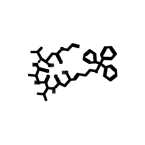 C=CCOC(=O)C[C@H](O)[C@H](NC(=O)C(C)NC(=O)C(NC(=O)CC(O)C=CCCSC(c1ccccc1)(c1ccccc1)c1ccccc1)C(C)C)C(C)C